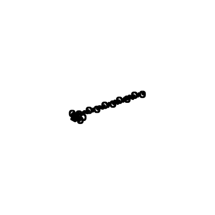 COCCOCCOCCOCCOCCOCCOCCOCCC(=O)ON1C(=O)CCC1=O